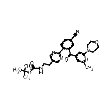 Cc1cc(C(=O)c2cc(C#N)ccc2-c2ncc(CCNC(=O)OC(C)(C)C)cn2)cc(N2CCOCC2)n1